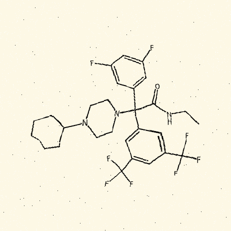 CCNC(=O)C(c1cc(F)cc(F)c1)(c1cc(C(F)(F)F)cc(C(F)(F)F)c1)N1CCN(C2CCCCC2)CC1